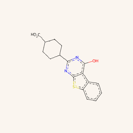 O=C(O)C1CCC(c2nc(O)c3c(n2)sc2ccccc23)CC1